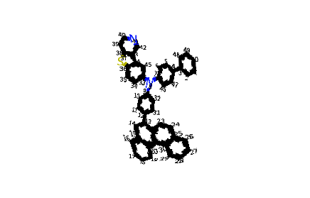 c1ccc(-c2ccc(N(c3ccc(-c4cc5ccccc5c5c4ccc4ccccc45)cc3)c3ccc4sc5ccncc5c4c3)cc2)cc1